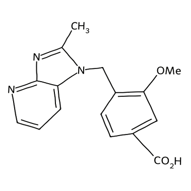 COc1cc(C(=O)O)ccc1Cn1c(C)nc2ncccc21